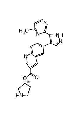 Cc1cccc(-c2[nH]ncc2-c2ccc3ncc(C(=O)O[C@@H]4CCNC4)cc3c2)n1